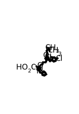 CN(C)CCOc1cc(CCCOc2nn(Cc3ccccc3)cc2CC(=O)O)n(Cc2ccc(Cl)cc2Cl)n1